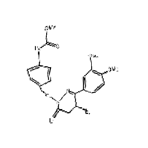 CCC1CC(=O)N(Cc2ccc(NC(=O)OC)cc2)N=C1c1ccc(OC)c(OC)c1